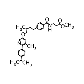 COC(=O)CCNC(=O)c1ccc(CCC(C)COc2cnc(-c3ccc(C(C)C)cc3)c(C)c2)cc1